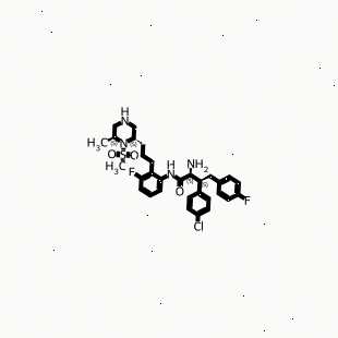 C[C@H]1CNC[C@H](CCCc2c(F)cccc2NC(=O)[C@@H](N)[C@@H](Cc2ccc(F)cc2)c2ccc(Cl)cc2)N1S(C)(=O)=O